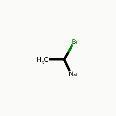 C[CH]([Na])Br